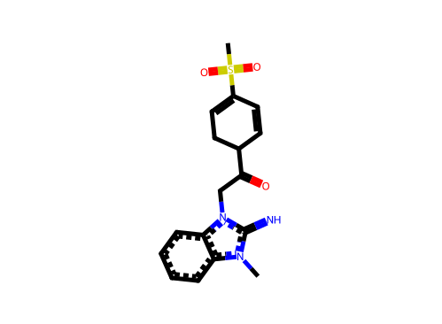 Cn1c(=N)n(CC(=O)C2C=CC(S(C)(=O)=O)=CC2)c2ccccc21